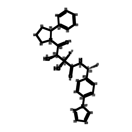 C[C@@H](NC(=O)[C@@](O)(F)[C@@H](O)C(=O)N1CCCC1c1ccccc1)c1ccc(-n2cccn2)cc1